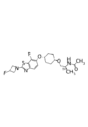 CC(=O)N[C@@H](C)CO[C@H]1CC[C@H](Oc2ccc3nc(N4CC(F)C4)sc3c2F)CC1